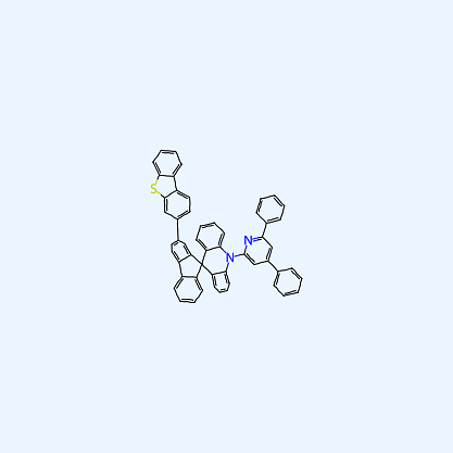 c1ccc(-c2cc(-c3ccccc3)nc(N3c4ccccc4C4(c5ccccc5-c5ccc(-c6ccc7c(c6)sc6ccccc67)cc54)c4ccccc43)c2)cc1